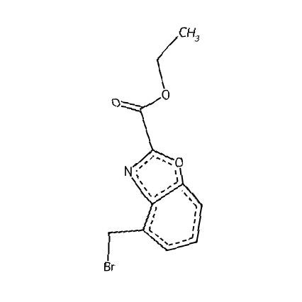 CCOC(=O)c1nc2c(CBr)cccc2o1